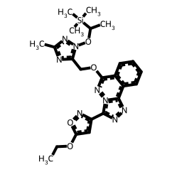 CCOc1cc(-c2nnc3c4ccccc4c(OCc4nc(C)nn4OC(C)[Si](C)(C)C)nn23)no1